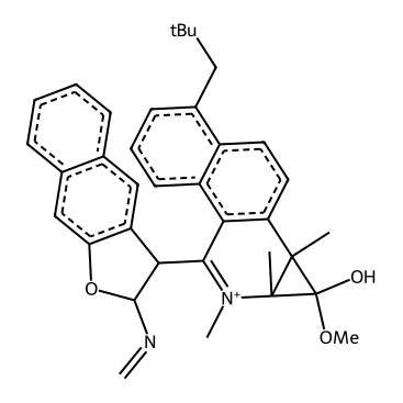 C=NC1Oc2cc3ccccc3cc2C1C1=[N+](C)C2(C)C(O)(OC)C2(C)c2ccc3c(CC(C)(C)C)cccc3c21